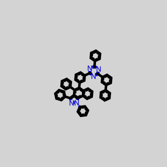 c1ccc(-c2cccc(-c3nc(-c4ccccc4)nc(-c4cccc(-c5c(-c6ccccc6)c6c(-c7ccccc7)nn(-c7ccccc7)c6c6ccccc56)c4)n3)c2)cc1